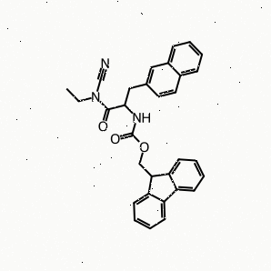 CCN(C#N)C(=O)C(Cc1ccc2ccccc2c1)NC(=O)OCC1c2ccccc2-c2ccccc21